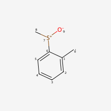 [CH2]c1ccccc1[S+](C)[O-]